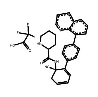 N#C[C@]1(NC(=O)[C@@H]2CCCCN2)CC=CC=C1c1ccc(-c2cccc3cccnc23)cc1.O=C(O)C(F)(F)F